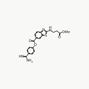 COC(=O)CCNc1nc2ccc(C(=O)Oc3ccc(C(=N)N)cc3)cc2s1